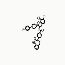 O=C(O[C@H](Cc1ccc(Cl)c(Cl)c1)C(=O)N1CCN(c2ccc(F)cc2)CC1)N1CCC(N2CCc3ccccc3NC2=O)CC1